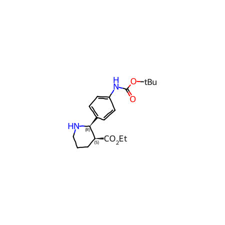 CCOC(=O)[C@H]1CCCN[C@H]1c1ccc(NC(=O)OC(C)(C)C)cc1